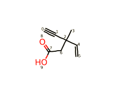 C#CC(C)(C=C)CC(=O)O